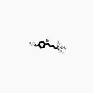 COc1ccc(CCCC[N+](C)(C)C)cc1.[Br-]